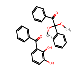 COC(OC)(C(=O)c1ccccc1)c1ccccc1.O=C(c1ccccc1)c1cccc(O)c1O